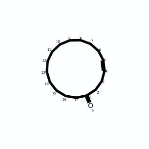 O=C1CCC=CCCCCCCCCCCCC1